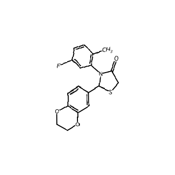 Cc1ccc(F)cc1N1C(=O)CSC1c1ccc2c(c1)OCCO2